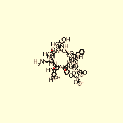 CC(O)C(CO)NC(=O)C1CSSCC(NC(=O)C(Cc2ccccc2)NC(=O)CN(CCN(CCN(CC(=O)[O-])CC(=O)[O-])CC(=O)[O-])CC(=O)[O-])C(=O)NC(Cc2ccccc2)C(=O)NC(Cc2c[nH]c3ccccc23)C(=O)NC(CCCCN)C(=O)NC(C(C)O)C(=O)N1.[H+].[In+3]